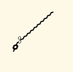 CCCCCCCCCCCCCCCCCCCC(=O)OCc1ccc(C)cc1